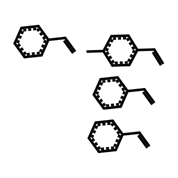 C=Cc1ccc(C)cc1.C=Cc1ccccc1.C=Cc1ccccc1.C=Cc1ccccc1